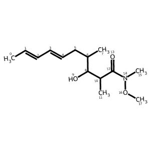 CC=CC=CCC(C)C(O)C(C)C(=O)N(C)OC